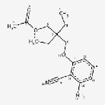 CCC(CC)(COC(C)=O)COc1cccc(N)c1C#N